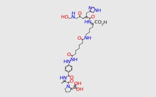 C[C@@H](NC(=O)c1ccc(NNC(=O)CCCCCC(=O)NCCCC[C@H](NC(=O)[C@@H](CC(=O)CNCO)Cc2c[nH]cn2)C(=O)O)cc1)C(=O)N1CCC[C@H]1B(O)O